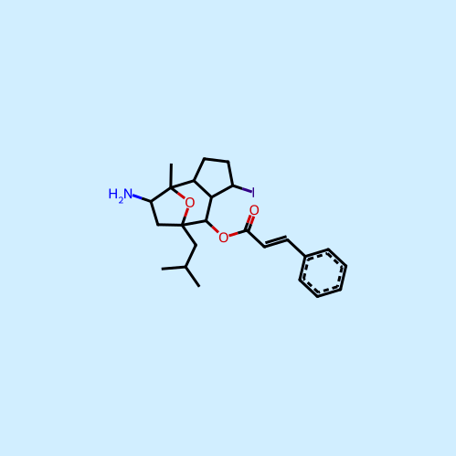 CC(C)CC12CC(N)C(C)(O1)C1CCC(I)C1C2OC(=O)/C=C/c1ccccc1